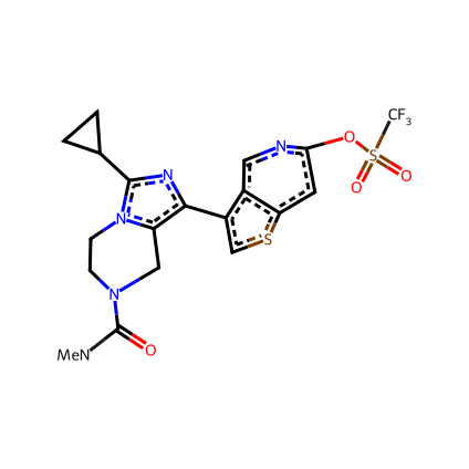 CNC(=O)N1CCn2c(C3CC3)nc(-c3csc4cc(OS(=O)(=O)C(F)(F)F)ncc34)c2C1